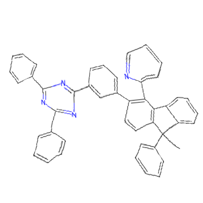 CC1(c2ccccc2)c2ccccc2-c2c1ccc(-c1cccc(-c3nc(-c4ccccc4)nc(-c4ccccc4)n3)c1)c2-c1ccccn1